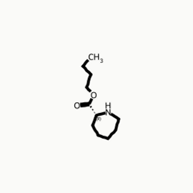 CCCCOC(=O)[C@H]1CCCCCN1